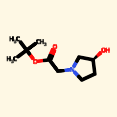 CC(C)(C)OC(=O)CN1CC[C@H](O)C1